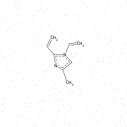 C=Cc1nc(C)cn1C=C